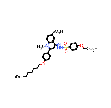 CCCCCCCCCCCCCCCCOc1ccc(-c2cc(=NNS(=O)(=O)c3ccc(OCC(=O)O)cc3)c3cc(S(=O)(=O)O)ccc3n2C)cc1